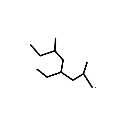 [CH2]C(C)CC(CC)CC(C)CC